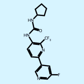 O=C(Nc1ccc(-c2cncc(F)c2)nc1C(F)(F)F)NC1CCCC1